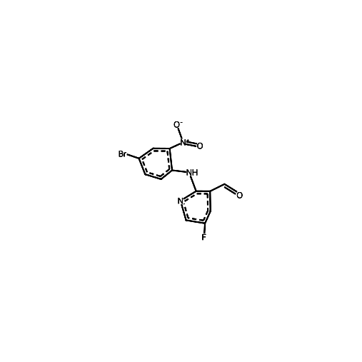 O=Cc1cc(F)cnc1Nc1ccc(Br)cc1[N+](=O)[O-]